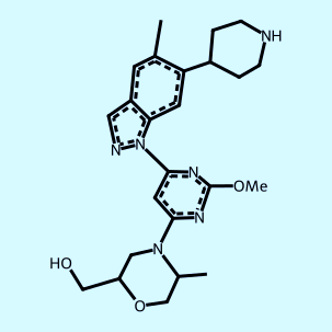 COc1nc(N2CC(CO)OCC2C)cc(-n2ncc3cc(C)c(C4CCNCC4)cc32)n1